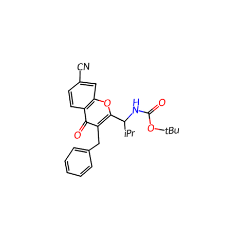 CC(C)C(NC(=O)OC(C)(C)C)c1oc2cc(C#N)ccc2c(=O)c1Cc1ccccc1